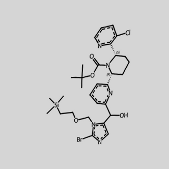 CC(C)(C)OC(=O)N1[C@@H](c2cccc(C(O)c3cnc(Br)n3COCC[Si](C)(C)C)n2)CCC[C@H]1c1ncccc1Cl